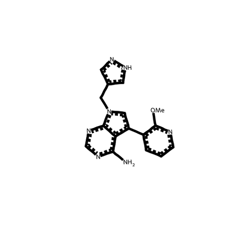 COc1ncccc1-c1cn(Cc2cn[nH]c2)c2ncnc(N)c12